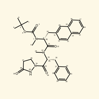 CN(C(=O)OC(C)(C)C)[C@H](Cc1ccc2ccccc2c1)C(=O)N(C)[C@H](Cc1ccccc1)C(=O)N1CCC(=O)N1